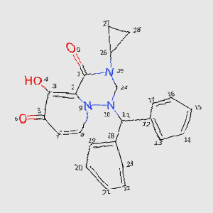 O=C1c2c(O)c(=O)ccn2N(C(c2ccccc2)c2ccccc2)CN1C1CC1